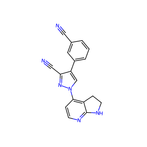 N#Cc1cccc(-c2cn(-c3ccnc4c3CCN4)nc2C#N)c1